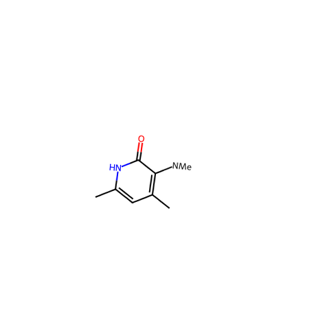 CNc1c(C)cc(C)[nH]c1=O